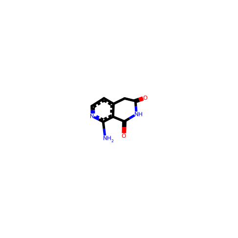 Nc1nccc2c1C(=O)NC(=O)C2